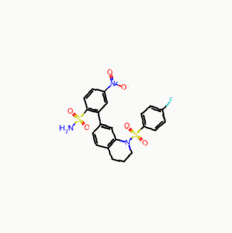 NS(=O)(=O)c1ccc([N+](=O)[O-])cc1-c1ccc2c(c1)N(S(=O)(=O)c1ccc(F)cc1)CCC2